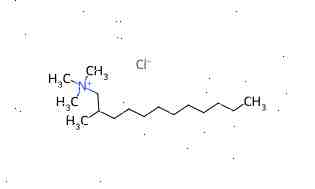 CCCCCCCCCCC(C)C[N+](C)(C)C.[Cl-]